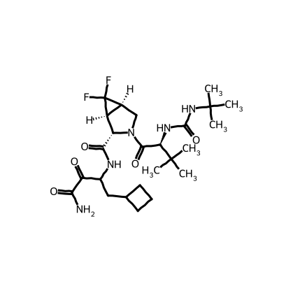 CC(C)(C)NC(=O)N[C@H](C(=O)N1C[C@H]2[C@@H]([C@H]1C(=O)NC(CC1CCC1)C(=O)C(N)=O)C2(F)F)C(C)(C)C